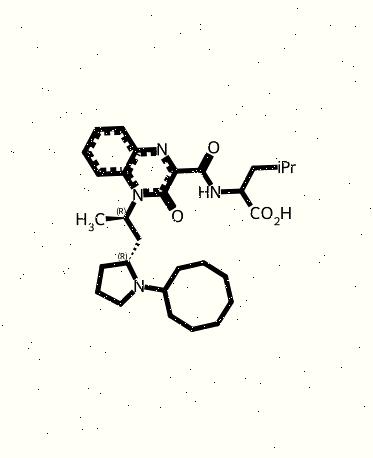 CC(C)CC(NC(=O)c1nc2ccccc2n([C@H](C)C[C@H]2CCCN2C2CCCCCCC2)c1=O)C(=O)O